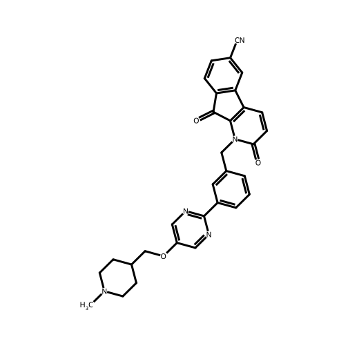 CN1CCC(COc2cnc(-c3cccc(Cn4c5c(ccc4=O)-c4cc(C#N)ccc4C5=O)c3)nc2)CC1